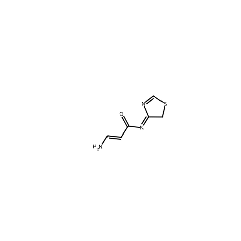 NC=CC(=O)N=C1CSC=N1